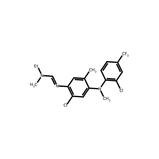 CCN(C)C=Nc1cc(C)c(N(C)c2ccc(C(F)(F)F)cc2Cl)cc1Cl